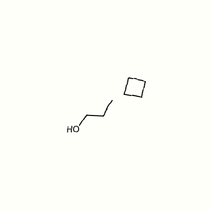 C1CCC1.CCCO